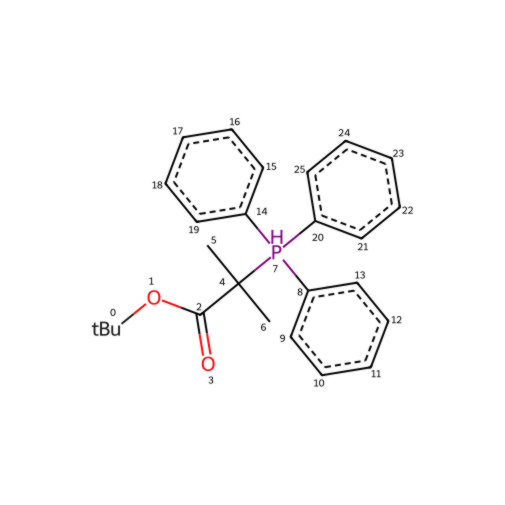 CC(C)(C)OC(=O)C(C)(C)[PH](c1ccccc1)(c1ccccc1)c1ccccc1